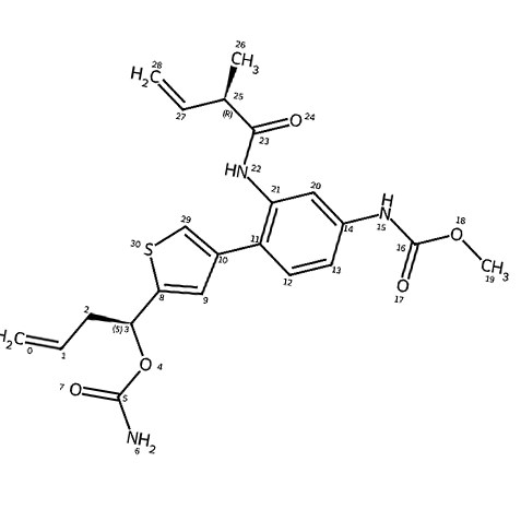 C=CC[C@H](OC(N)=O)c1cc(-c2ccc(NC(=O)OC)cc2NC(=O)[C@H](C)C=C)cs1